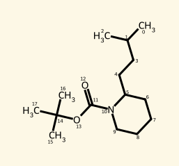 CC(C)CCC1CCCCN1C(=O)OC(C)(C)C